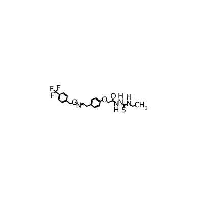 CCNC(=S)NNC(=O)COc1ccc(CC=NOCc2ccc(C(F)(F)F)cc2)cc1